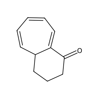 O=C1CCCC2C=CC=CC=C12